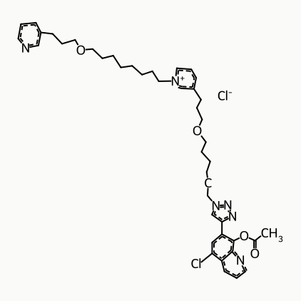 CC(=O)Oc1c(-c2cn(CCCCCCOCCCc3ccc[n+](CCCCCCCCOCCCc4cccnc4)c3)nn2)cc(Cl)c2cccnc12.[Cl-]